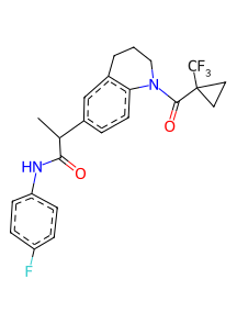 CC(C(=O)Nc1ccc(F)cc1)c1ccc2c(c1)CCCN2C(=O)C1(C(F)(F)F)CC1